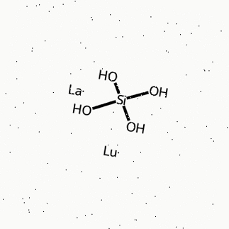 O[Si](O)(O)O.[La].[Lu]